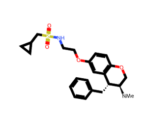 CN[C@@H]1COc2ccc(OCCNS(=O)(=O)CC3CC3)cc2[C@H]1Cc1ccccc1